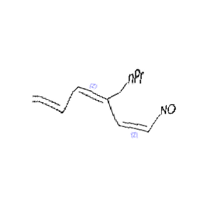 C=C/C=C(\C=C/N=O)CCC